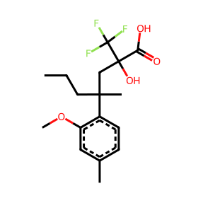 CCCC(C)(CC(O)(C(=O)O)C(F)(F)F)c1ccc(C)cc1OC